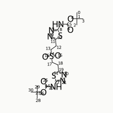 CC(C)(C)OC(=O)Nc1nnc(CCS(=O)(=O)CCc2nnc(NC(=O)OC(C)(C)C)s2)s1